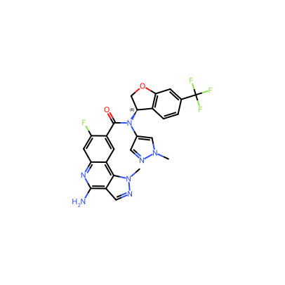 Cn1cc(N(C(=O)c2cc3c(cc2F)nc(N)c2cnn(C)c23)[C@H]2COc3cc(C(F)(F)F)ccc32)cn1